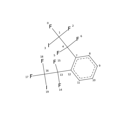 FC(F)(I)C(F)(F)c1ccccc1C(F)(F)C(F)(F)I